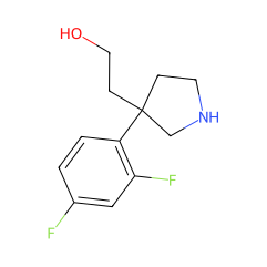 OCCC1(c2ccc(F)cc2F)CCNC1